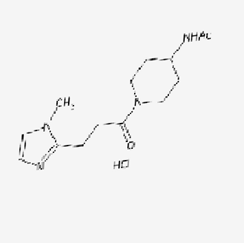 CC(=O)NC1CCN(C(=O)CCc2nccn2C)CC1.Cl